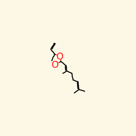 C=CC1COC(/C=C(\C)CCC=C(C)C)O1